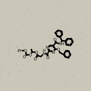 CC(C)OC(=O)OC(C)OC(=O)CNC(=O)c1ncc(C(=O)NC(c2ccccc2)c2ccccc2)c(OCc2ccccc2)n1